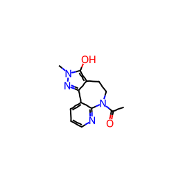 CC(=O)N1CCc2c(nn(C)c2O)-c2cccnc21